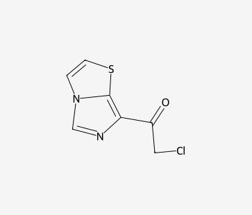 O=C(CCl)c1ncn2ccsc12